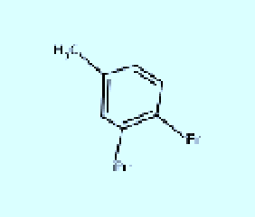 C[C](C)c1cc(C)ccc1C(C)C